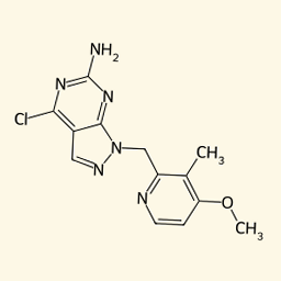 COc1ccnc(Cn2ncc3c(Cl)nc(N)nc32)c1C